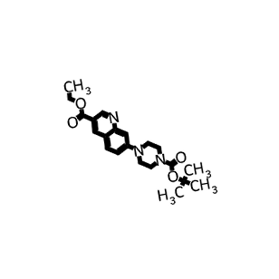 CCOC(=O)c1cnc2cc(N3CCN(C(=O)OC(C)(C)C)CC3)ccc2c1